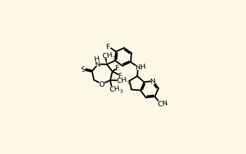 CC1(C)OCC(=S)N[C@](C)(c2cc(NC3CCc4cc(C#N)cnc43)ccc2F)C1(F)F